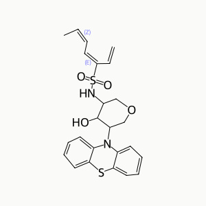 C=C/C(=C\C=C/C)S(=O)(=O)NC1COCC(N2c3ccccc3Sc3ccccc32)C1O